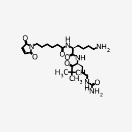 CC(C)(C)C(=O)[C@H](CCCNC(N)=O)NC(=O)[C@H](CCCCN)NC(=O)CCCCCN1C(=O)C=CC1=O